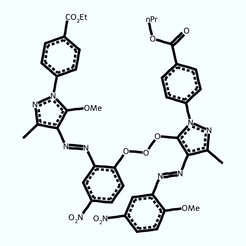 CCCOC(=O)c1ccc(-n2nc(C)c(N=Nc3cc([N+](=O)[O-])ccc3OC)c2OOOc2ccc([N+](=O)[O-])cc2N=Nc2c(C)nn(-c3ccc(C(=O)OCC)cc3)c2OC)cc1